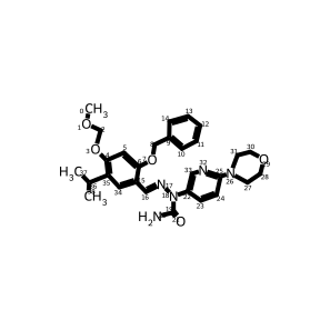 COCOc1cc(OCc2ccccc2)c(/C=N/N(C(N)=O)c2ccc(N3CCOCC3)nc2)cc1C(C)C